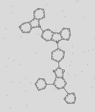 c1ccc(-c2cc(-c3ccccc3)c3nc(-c4ccc(-n5c6ccccc6c6cc(-n7c8ccccc8c8ccccc87)ccc65)cc4)oc3c2)cc1